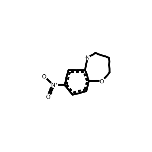 O=[N+]([O-])c1ccc2c(c1)[N]CCCO2